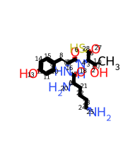 C[C@@H](O)C(NC(=O)[C@H](Cc1ccc(O)cc1)NC(=O)[C@@H](N)CCCCN)C(=O)S